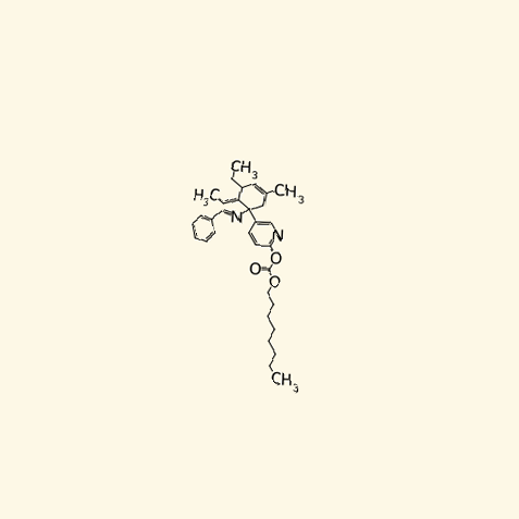 C/C=C1\C(CC)C=C(C)CC1(/N=C/c1ccccc1)c1ccc(OC(=O)OCCCCCCCC)nc1